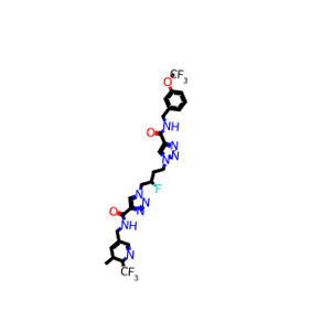 CC1C=C(CNC(=O)c2cn(CC(F)CCn3cc(C(=O)NCc4cccc(OC(F)(F)F)c4)nn3)nn2)C=NC1C(F)(F)F